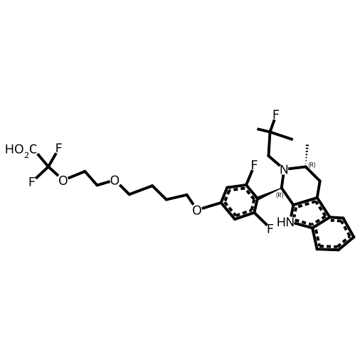 C[C@@H]1Cc2c([nH]c3ccccc23)[C@@H](c2c(F)cc(OCCCCOCCOC(F)(F)C(=O)O)cc2F)N1CC(C)(C)F